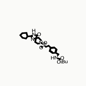 CC(C)COC(=O)NCc1ccc(CCS(=O)(=O)N2CCC3(CC2)N=C(C2CCCCC2)NC3=O)cc1